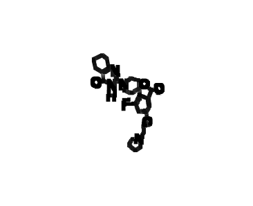 O=C1OC2(CCN(c3nc4c(c(=O)[nH]3)CCCC4)CC2)c2c(F)cc(OCCN3CCCC3)cc21